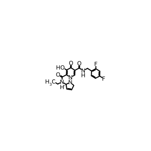 CCN1C(=O)c2c(O)c(=O)c(C(=O)NCc3ccc(F)cc3F)cn2N2CC=C[C@@H]12